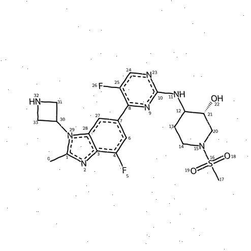 Cc1nc2c(F)cc(-c3nc(NC4CCN(S(C)(=O)=O)C[C@H]4O)ncc3F)cc2n1C1CNC1